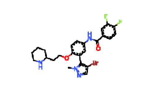 Cn1ncc(Br)c1-c1cc(NC(=O)c2ccc(F)c(F)c2)ccc1OCCC1CCCCN1